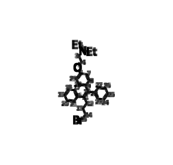 CCN(CC)CCOc1ccc(C(=C(CCCBr)c2ccccc2)c2ccccc2)cc1